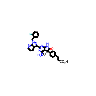 C[C@]1(c2ccc(CCC(=O)O)cc2)C(=O)Nc2nc(-c3nn(Cc4ccccc4F)c4ncccc34)nc(N)c21